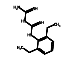 CCc1cccc(CC)c1NC(=N)NC(=N)N